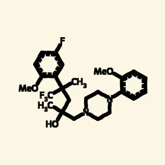 COc1ccccc1N1CCN(CC(C)(O)CC(C)(c2cc(F)ccc2OC)C(F)(F)F)CC1